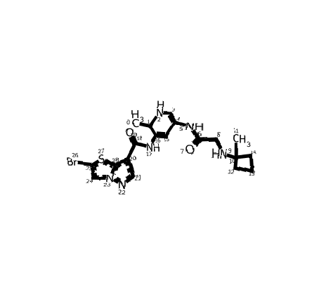 CC1NC=C(NC(=O)CNC2(C)CCC2)C=C1NC(=O)c1cnn2cc(Br)sc12